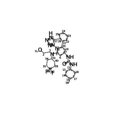 COCCN(c1cc(NC(=O)Nc2ccc(C)cc2)cc(-c2ccccc2-c2nnn[nH]2)n1)C1CCC(F)(F)CC1